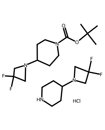 CC(C)(C)OC(=O)N1CCC(N2CC(F)(F)C2)CC1.Cl.FC1(F)CN(C2CCNCC2)C1